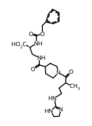 CC(CCNC1=NCCN1)C(=O)N1CCC(C(=O)NC[C@H](NC(=O)OCc2ccccc2)C(=O)O)CC1